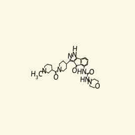 CN1CCCC(C(=O)N2CCC(c3n[nH]c4c3C(=O)c3c(NC(=O)NN5CCOCC5)cccc3-4)CC2)C1